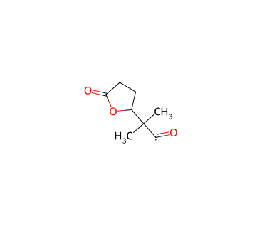 CC(C)([C]=O)C1CCC(=O)O1